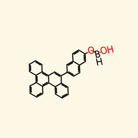 OBOc1ccc2cc(-c3cc4c5ccccc5c5ccccc5c4c4ccccc34)ccc2c1